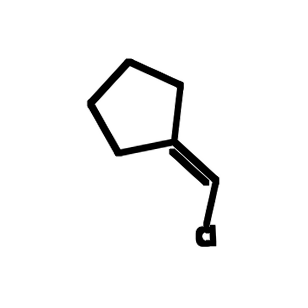 ClC=C1CCCC1